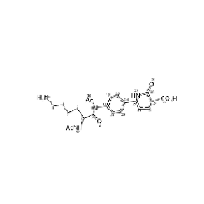 CC(=O)N[C@@H](CCCCN)C(=O)N(C(C)=O)c1ccc(-c2ccc(C(=O)O)c(=O)[nH]2)cc1